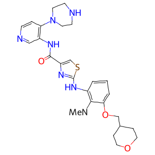 CNc1c(Nc2nc(C(=O)Nc3cnccc3N3CCNCC3)cs2)cccc1OCC1CCOCC1